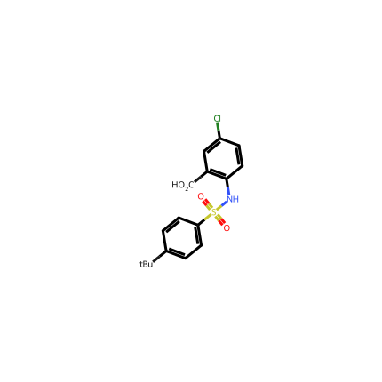 CC(C)(C)c1ccc(S(=O)(=O)Nc2ccc(Cl)cc2C(=O)O)cc1